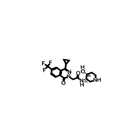 O=C(Cn1nc(C2CC2)c2cc(C(F)(F)F)ccc2c1=O)N[C@H]1CNCC[C@H]1O